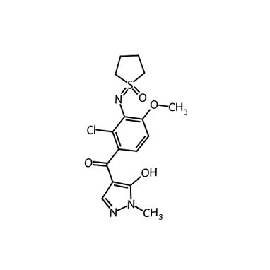 COc1ccc(C(=O)c2cnn(C)c2O)c(Cl)c1N=S1(=O)CCCC1